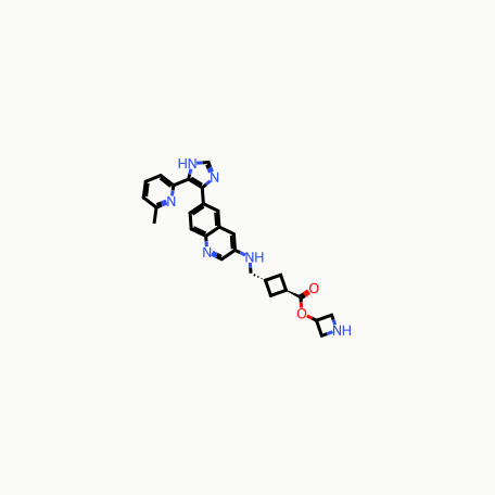 Cc1cccc(-c2[nH]cnc2-c2ccc3ncc(NC[C@H]4C[C@H](C(=O)OC5CNC5)C4)cc3c2)n1